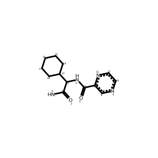 [NH]C(=O)C(NC(=O)c1cnccn1)C1CCCCC1